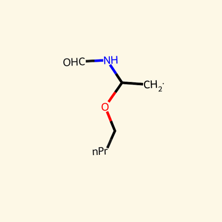 [CH2]C(NC=O)OCCCC